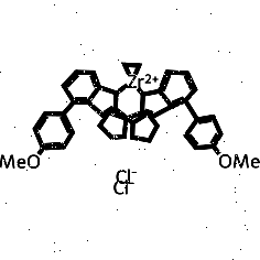 COc1ccc(-c2cccc3c2C=C(C2CCCC2)[CH]3[Zr+2]2([CH]3C(C4CCCC4)=Cc4c(-c5ccc(OC)cc5)cccc43)[CH2][CH2]2)cc1.[Cl-].[Cl-]